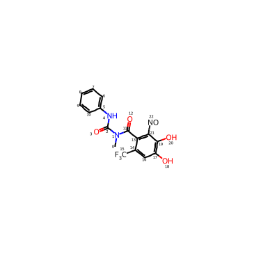 CN(C(=O)Nc1ccccc1)C(=O)c1c(C(F)(F)F)cc(O)c(O)c1N=O